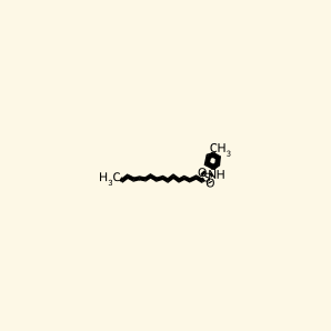 CCCCCCCCCCCCCCCCS(=O)(=O)Nc1ccc(C)cc1